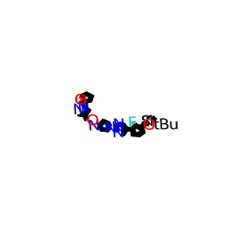 CC(C)(C)[Si](C)(C)OCc1cccc(-c2cnc(N3CCC(=NOCc4cnn(C5CCCCO5)c4)CC3)nc2)c1F